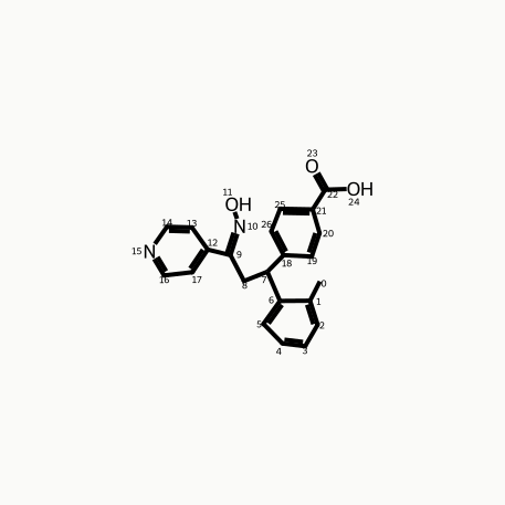 Cc1ccccc1C(CC(=NO)c1ccncc1)c1ccc(C(=O)O)cc1